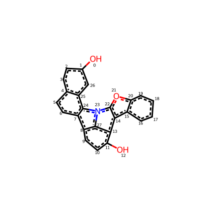 Oc1ccc2ccc3c4ccc(O)c5c6c7ccccc7oc6n(c3c2c1)c45